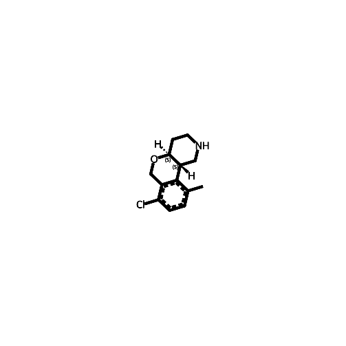 Cc1ccc(Cl)c2c1[C@H]1CNCC[C@@H]1OC2